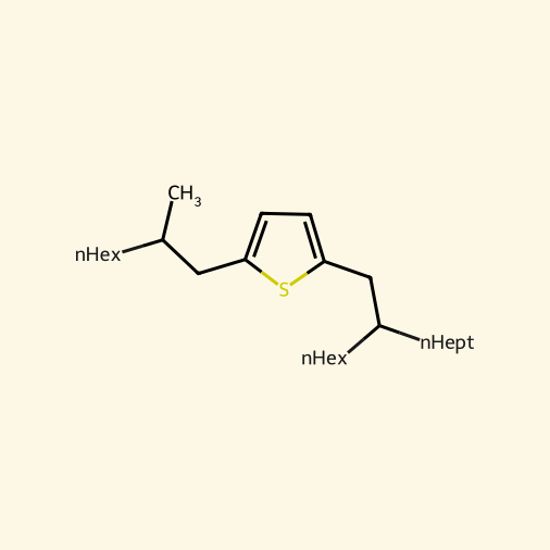 CCCCCCCC(CCCCCC)Cc1ccc(CC(C)CCCCCC)s1